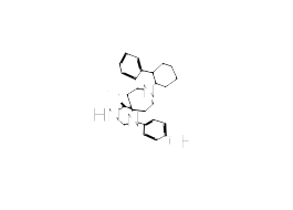 O=C1NCN(c2ccc(C(F)(F)F)cc2)C12CCN(C1CCCCC1c1ccccc1)CC2